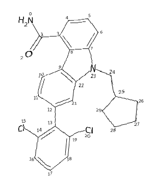 NC(=O)c1cccc2c1c1[c]cc(-c3c(Cl)cccc3Cl)cc1n2CC1CCCC1